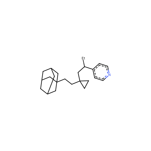 CC[C](CC1(CCC23CC4CC(CC(C4)C2)C3)CC1)c1ccncc1